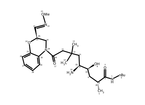 CCCCNC(=O)[C@H](C)C[C@H](O)[C@@H](N)CC(C)(C)CC(=O)N1C[C@H](C=NOC)Oc2ccccc21